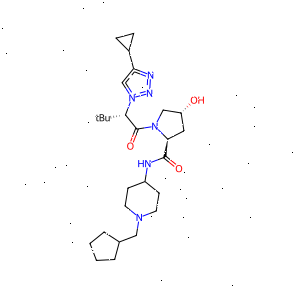 CC(C)(C)[C@@H](C(=O)N1C[C@H](O)C[C@H]1C(=O)NC1CCN(CC2CCCC2)CC1)n1cc(C2CC2)nn1